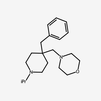 CC(C)N1CCC(Cc2ccccc2)(CN2CCOCC2)CC1